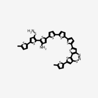 Cc1ccc(-c2cc(SN)c(-c3sc(-c4ccc(-c5ccc(-c6ccc(-c7cc8c(s7)-c7sc(-c9ccc(C)s9)cc7SN=N8)s6)s5)s4)cc3N)s2)s1